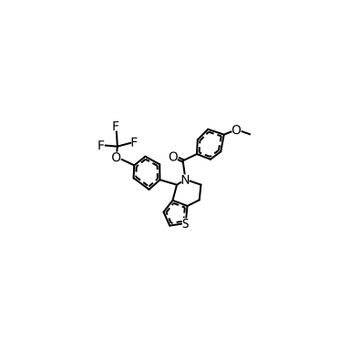 COc1ccc(C(=O)N2CCc3sccc3C2c2ccc(OC(F)(F)F)cc2)cc1